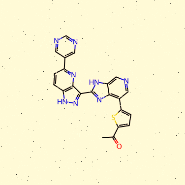 CC(=O)c1ccc(-c2cncc3[nH]c(-c4n[nH]c5ccc(-c6cncnc6)nc45)nc23)s1